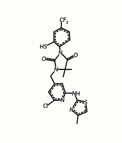 Cc1csc(Nc2cc(CN3C(=O)N(c4ccc(C(F)(F)F)cc4S)C(=O)C3(C)C)cc(Cl)n2)n1